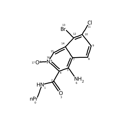 CCCNC(=O)c1c(N)c2ccc(Cl)c(Br)c2c[n+]1[O-]